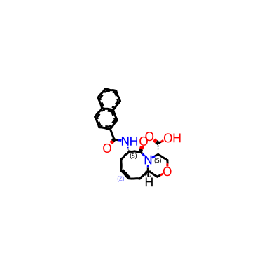 O=C(N[C@H]1C/C=C\C[C@H]2COC[C@@H](C(=O)O)N2C1=O)c1ccc2ccccc2c1